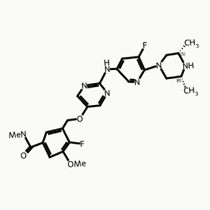 CNC(=O)c1cc(COc2cnc(Nc3cnc(N4C[C@@H](C)N[C@@H](C)C4)c(F)c3)nc2)c(F)c(OC)c1